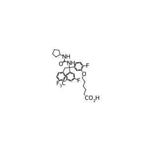 O=C(O)CCCCCOc1cc(C(Cc2ccccc2)(NC(=O)NC2CCCC2)c2cc(F)cc(C(F)(F)F)c2)ccc1F